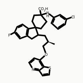 C[C@@H](COc1ccnc2ccsc12)CC1Cc2cc(F)ccc2C12CCC(Nc1cccc(Cl)c1)(C(=O)O)CC2